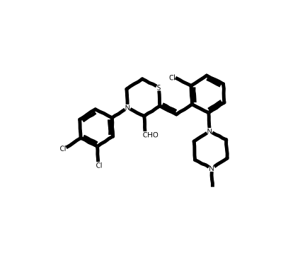 CN1CCN(c2cccc(Cl)c2C=C2SCCN(c3ccc(Cl)c(Cl)c3)C2C=O)CC1